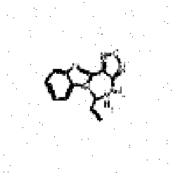 C=CC(N)n1c(-c2nonc2N)nc2ccccc21